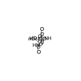 CCCCCCCC[C@H](CC(=O)NOCc1ccccc1)C(=O)[N@+]1(C(=O)O)CCNCC1C(=O)OCc1ccccc1